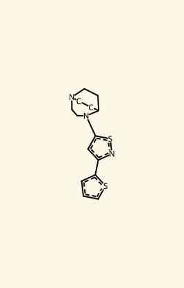 c1csc(-c2cc(N3CCN4CCC3CC4)sn2)c1